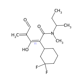 C=C(C=O)/C(O)=C(\C(=O)N(C)C(C)CC)C1CCCC(F)(F)C1